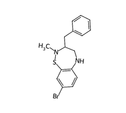 CN1Sc2cc(Br)ccc2NCC1Cc1ccccc1